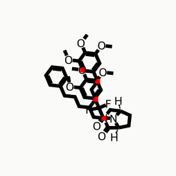 COc1cc(CCCC(CCCc2ccccc2)CN2C[C@H]3CC[C@@H](C2=O)N3C(=O)C(F)(F)c2cc(OC)c(OC)c(OC)c2)cc(OC)c1OC